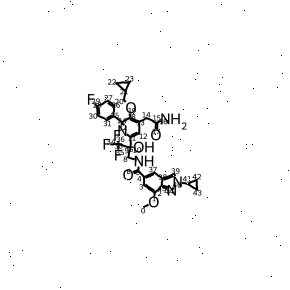 COc1cc(C(=O)NC[C@](O)(c2cc(CC(N)=O)c(OCC3CC3)c(-c3ccc(F)cc3)n2)C(F)(F)F)cc2cn(C3CC3)nc12